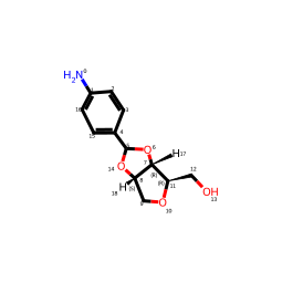 Nc1ccc(C2O[C@H]3[C@H](CO[C@@H]3CO)O2)cc1